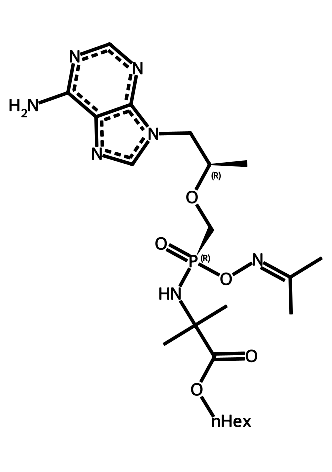 CCCCCCOC(=O)C(C)(C)N[P@@](=O)(CO[C@H](C)Cn1cnc2c(N)ncnc21)ON=C(C)C